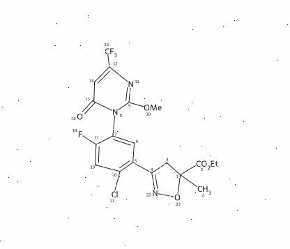 CCOC(=O)C1(C)CC(c2cc(-n3c(OC)nc(C(F)(F)F)cc3=O)c(F)cc2Cl)=NO1